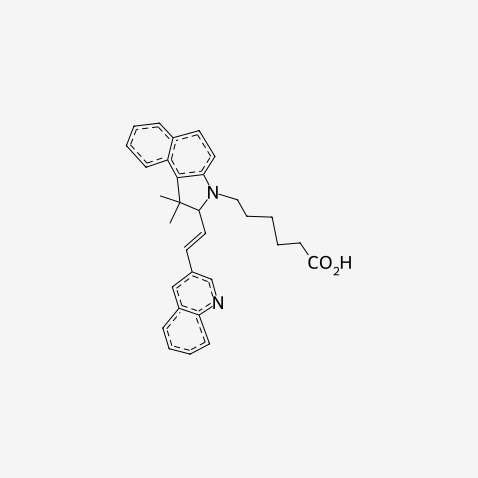 CC1(C)c2c(ccc3ccccc23)N(CCCCCC(=O)O)C1C=Cc1cnc2ccccc2c1